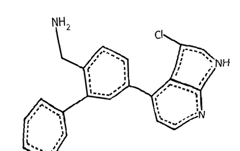 NCc1ccc(-c2ccnc3[nH]cc(Cl)c23)cc1-c1ccccc1